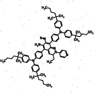 CCCCC(C)(C)c1ccc(N(c2ccc(-c3c(N)c(N=S)c(-c4ccc(N(c5ccc(C(C)(C)CCCC)cc5)c5ccc(C(C)(C)CCCC)cc5)cc4)c4c3=CC(CC)N(c3ccncc3)N=4)cc2)c2ccc(C(C)(C)CCCC)cc2)cc1